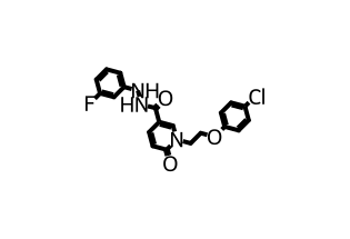 O=C(NNc1cccc(F)c1)c1ccc(=O)n(CCOc2ccc(Cl)cc2)c1